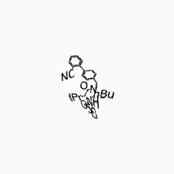 CCCCN(Cc1ccc(-c2ccccc2C#N)cc1)C(=O)[C@@H](NS(C)(=O)=O)C(C)C